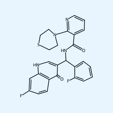 O=C(NC(c1ccccc1F)c1c[nH]c2cc(F)ccc2c1=O)c1cccnc1N1CCSCC1